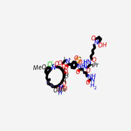 COc1cc2cc(c1Cl)N(C)C(=O)C[C@H](OC(=O)[C@H](C)N(C)C(=O)c1ccc(NC(=O)[C@H](CCCNC(N)=O)NC(=O)[C@@H](NC(=O)CCCCCN3C(=O)C=CC3O)C(C)C)c(S(C)(=O)=O)c1)[C@]1(C)O[C@H]1[C@H](C)[C@@H]1C[C@@](O)(NC(=O)O1)[C@H](OC)/C=C/C=C(\C)C2